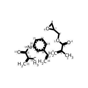 C=C(C)C(=O)OCC1CO1.C=C(C)C(N)=O.C=Cc1ccccc1